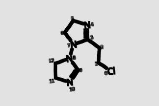 ClCCC1=NCCN1N1C=NCC1